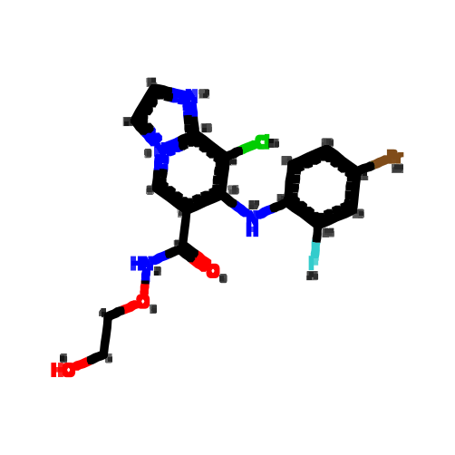 O=C(NOCCO)c1cn2ccnc2c(Cl)c1Nc1ccc(Br)cc1F